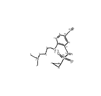 CN(C)CCCOc1ncc(Br)cc1NS(=O)(=O)C1CC1